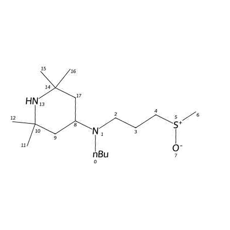 CCCCN(CCC[S+](C)[O-])C1CC(C)(C)NC(C)(C)C1